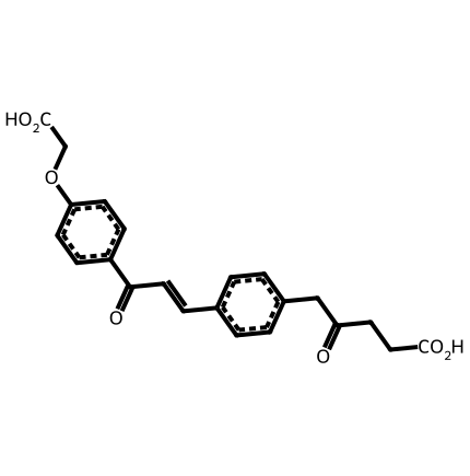 O=C(O)CCC(=O)Cc1ccc(C=CC(=O)c2ccc(OCC(=O)O)cc2)cc1